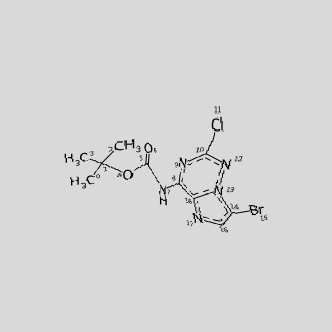 CC(C)(C)OC(=O)Nc1nc(Cl)nn2c(Br)cnc12